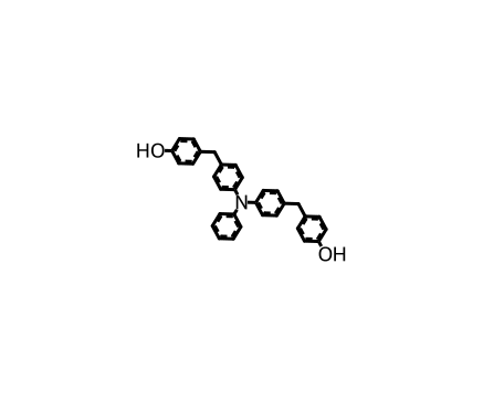 Oc1ccc(Cc2ccc(N(c3ccccc3)c3ccc(Cc4ccc(O)cc4)cc3)cc2)cc1